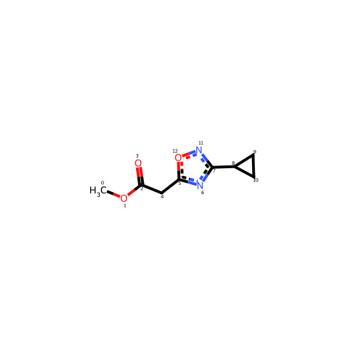 COC(=O)Cc1nc(C2CC2)no1